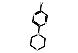 Brc1cnc(N2CCSCC2)cn1